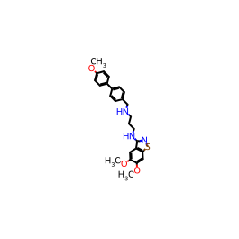 COc1ccc(-c2ccc(CNCCCNc3nsc4cc(OC)c(OC)cc34)cc2)cc1